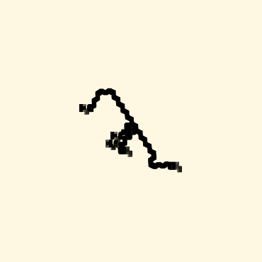 CCCC/C=C\C/C=C\CCCCCCCCC(CCCCCCCC/C=C\C/C=C\CCCC)OP(=O)(CC)OCCN(C)C